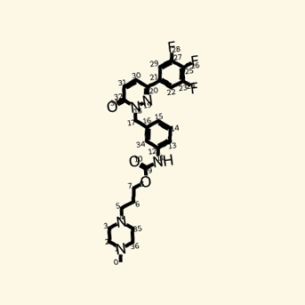 CN1CCN(CCCOC(=O)Nc2cccc(Cn3nc(-c4cc(F)c(F)c(F)c4)ccc3=O)c2)CC1